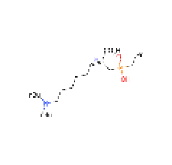 CCCCN(CCCC)CCCCC/C=C(\CP(=O)(O)CC(C)C)C(=O)O